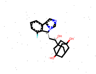 O[C@@H](C[C@@H]1c2c(F)cccc2-c2cncn21)C12CC3CC(O)(CC(O)(C3)C1)C2